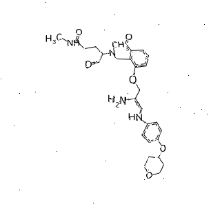 CNC(=O)CCC(C=O)N(C)Cc1c(C=O)cccc1OC/C(N)=C/Nc1ccc(OC2CCOCC2)cc1